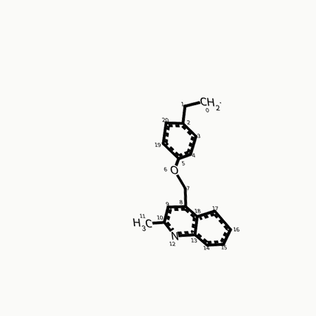 [CH2]Cc1ccc(OCc2cc(C)nc3ccccc23)cc1